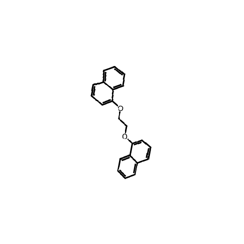 c1ccc2c(OCCOc3cccc4ccccc34)cccc2c1